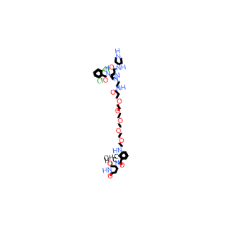 CN(C(=O)c1cccc(NCCOCCOCCOCCOCCOCCC(=O)NCCn2cc(NC(=O)c3c(Cl)cccc3Cl)c(C(=O)NC3CCNCC3)n2)c1C=O)C1CCC(=O)NC1=O